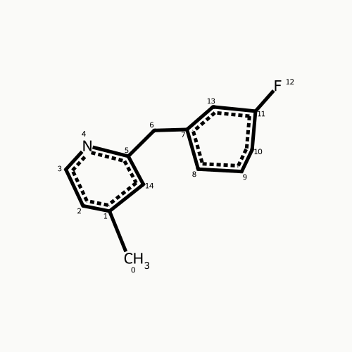 Cc1ccnc(Cc2cccc(F)c2)c1